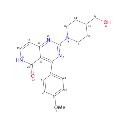 COc1ccc(-c2nc(N3CCC(CO)CC3)nc3cc[nH]c(=O)c23)cc1